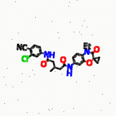 CCN1C(=O)C2(CC2)Oc2cc(NC(=O)CC(C)CC(=O)Nc3ccc(C#N)c(Cl)c3)ccc21